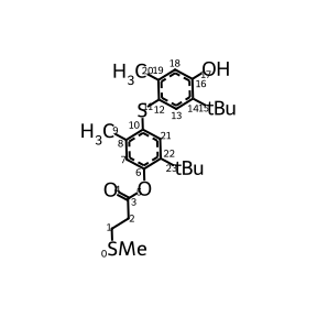 CSCCC(=O)Oc1cc(C)c(Sc2cc(C(C)(C)C)c(O)cc2C)cc1C(C)(C)C